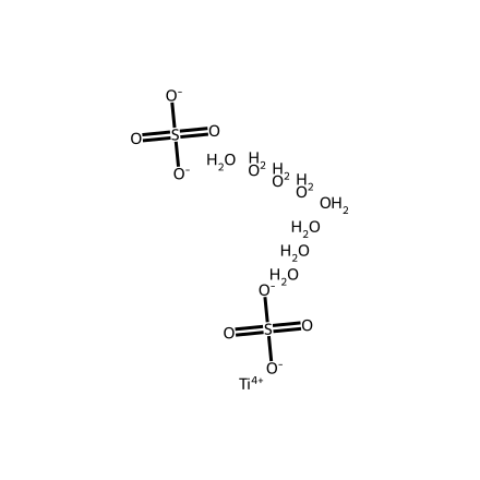 O.O.O.O.O.O.O.O.O=S(=O)([O-])[O-].O=S(=O)([O-])[O-].[Ti+4]